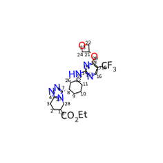 CCOC(=O)C1CCc2nnc([C@H]3CCC[C@@H](Nc4ncc(C(F)(F)F)c(OC5COC5)n4)C3)n2C1